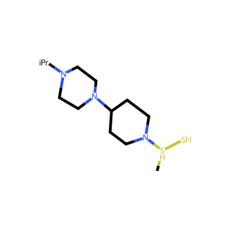 CC(C)N1CCN(C2CCN([SH](C)S)CC2)CC1